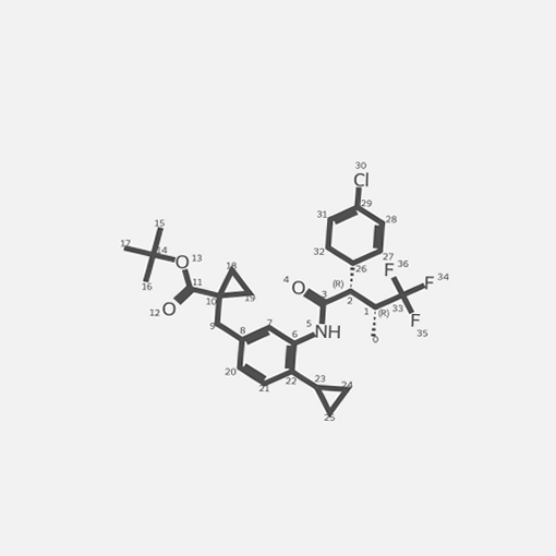 C[C@H]([C@H](C(=O)Nc1cc(CC2(C(=O)OC(C)(C)C)CC2)ccc1C1CC1)C1C=CC(Cl)=CC1)C(F)(F)F